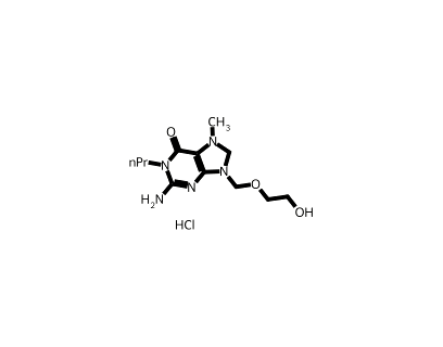 CCCn1c(N)nc2c(c1=O)N(C)CN2COCCO.Cl